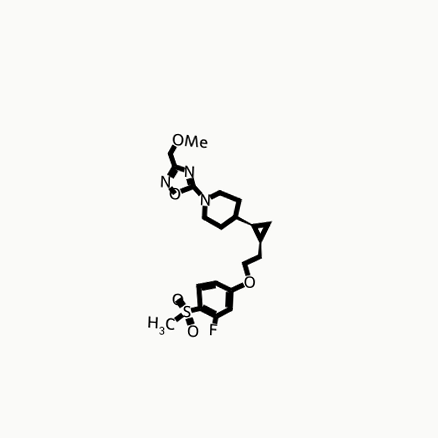 COCc1noc(N2CCC([C@H]3C[C@H]3CCOc3ccc(S(C)(=O)=O)c(F)c3)CC2)n1